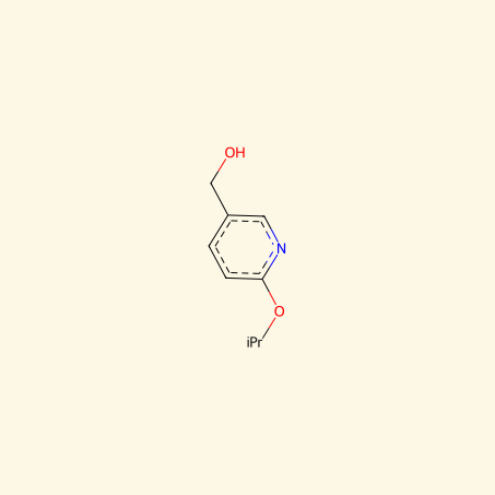 CC(C)Oc1ccc(CO)cn1